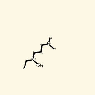 CCN(S)CCCN(C)C